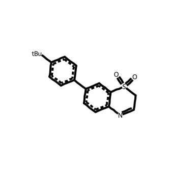 CC(C)(C)c1ccc(-c2ccc3c(c2)S(=O)(=O)CC=N3)cc1